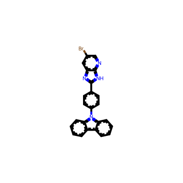 Brc1cnc2[nH]c(-c3ccc(-n4c5ccccc5c5ccccc54)cc3)nc2c1